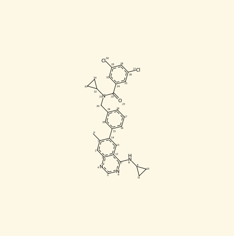 Cc1cc2ncnc(NC3CC3)c2cc1-c1cccc(CN(C(=O)c2cc(Cl)cc(Cl)c2)C2CC2)c1